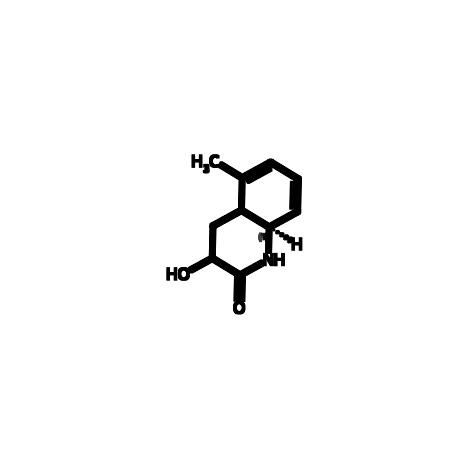 CC1=CC=C[C@H]2NC(=O)C(O)CC12